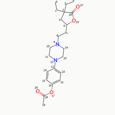 CCC1(CC)CC(CCN2CCN(c3ccc(OC(C)=O)cc3)CC2)OC1=O